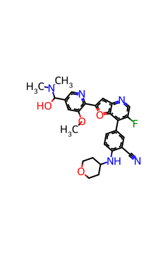 COc1cc(C(O)N(C)C)cnc1-c1cc2ncc(F)c(-c3ccc(NC4CCOCC4)c(C#N)c3)c2o1